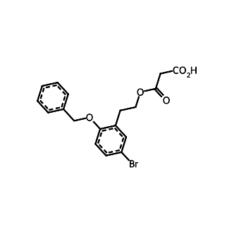 O=C(O)CC(=O)OCCc1cc(Br)ccc1OCc1ccccc1